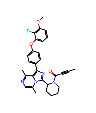 CC#CC(=O)N1CCCCC1c1nc(-c2ccc(Oc3cccc(OC)c3F)cc2)c2c(C)ncc(C)n12